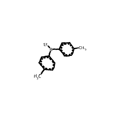 CCB(c1ccc(C)cc1)c1ccc(C)cc1